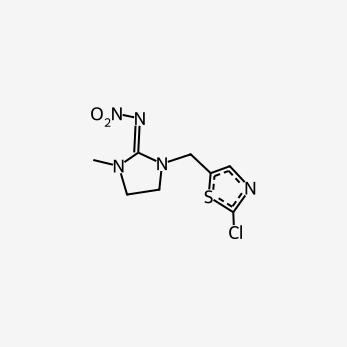 CN1CCN(Cc2cnc(Cl)s2)/C1=N/[N+](=O)[O-]